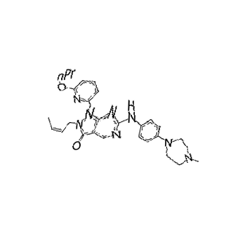 C/C=C\Cn1c(=O)c2cnc(Nc3ccc(N4CCN(C)CC4)cc3)nc2n1-c1cccc(OCCC)n1